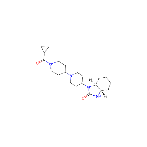 O=C(C1CC1)N1CCC(N2CCC(N3C(=O)N[C@H]4CCCC[C@@H]43)CC2)CC1